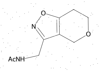 CC(=O)NCc1noc2c1COCC2